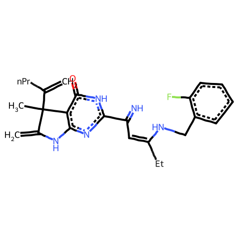 C=C(CCC)C1(C)C(=C)Nc2nc(C(=N)/C=C(/CC)NCc3ccccc3F)[nH]c(=O)c21